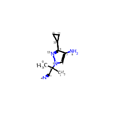 CC(C)(C#N)n1cc(N)c(C2CC2)n1